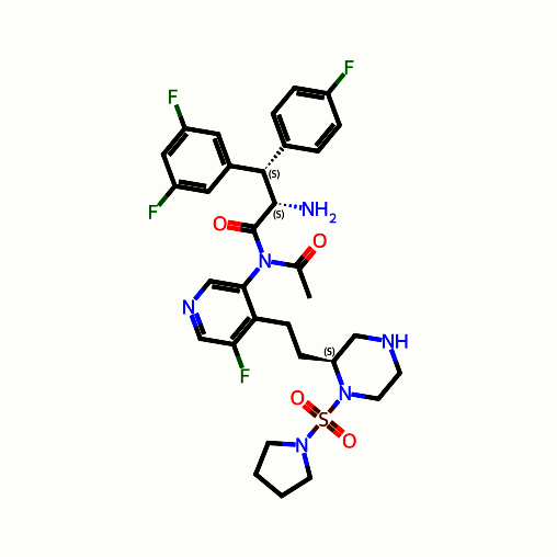 CC(=O)N(C(=O)[C@@H](N)[C@@H](c1ccc(F)cc1)c1cc(F)cc(F)c1)c1cncc(F)c1CC[C@H]1CNCCN1S(=O)(=O)N1CCCC1